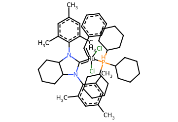 Cc1cc(C)c(N2[C](=[Ru]([Cl])([Cl])(=[CH]c3ccccc3)[PH](C3CCCCC3)(C3CCCCC3)C3CCCCC3)N(c3c(C)cc(C)cc3C)C3CCCCC32)c(C)c1